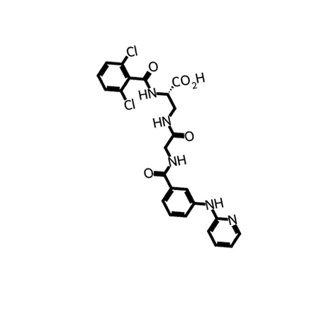 O=C(CNC(=O)c1cccc(Nc2ccccn2)c1)NC[C@H](NC(=O)c1c(Cl)cccc1Cl)C(=O)O